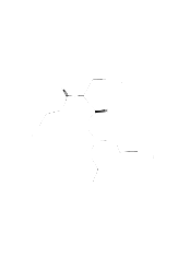 CCOC(=O)C(CC)C(=O)OP(OCC)OCC